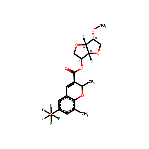 Cc1cc(S(F)(F)(F)(F)F)cc2c1OC(C(F)(F)F)C(C(=O)O[C@H]1CO[C@H]3[C@@H]1OC[C@H]3O[N+](=O)[O-])=C2